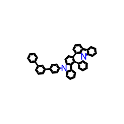 c1ccc(-c2cccc(-c3ccc(-n4c5ccccc5c5c6c(ccc54)-c4cccc5c7ccccc7n(c45)-c4ccccc4-6)cc3)c2)cc1